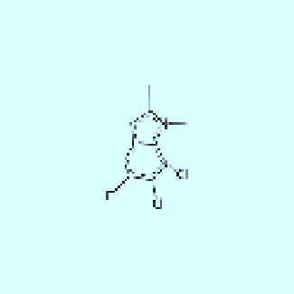 Cc1cc2cc(F)c(Cl)c(Cl)c2n1C